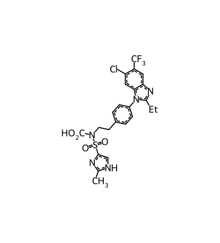 CCc1nc2cc(C(F)(F)F)c(Cl)cc2n1-c1ccc(CCN(C(=O)O)S(=O)(=O)c2c[nH]c(C)n2)cc1